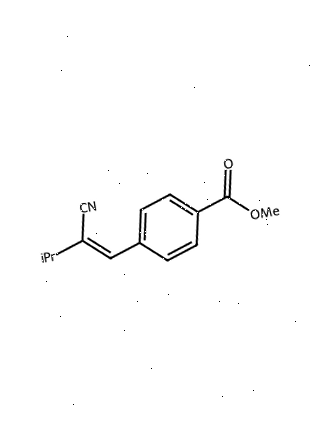 COC(=O)c1ccc(/C=C(\C#N)C(C)C)cc1